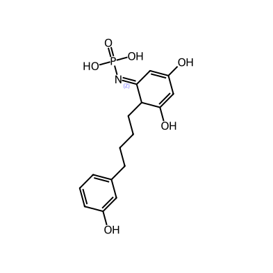 O=P(O)(O)/N=C1\C=C(O)C=C(O)C1CCCCc1cccc(O)c1